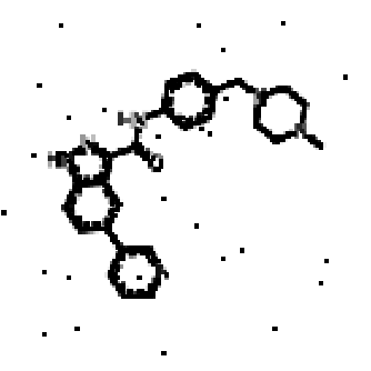 CN1CCN(Cc2ccc(NC(=O)c3n[nH]c4ccc(-c5cccnc5)cc34)cc2)CC1